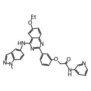 CCOc1ccc2nc(-c3cccc(OCC(=O)Nc4cccnc4)c3)nc(Nc3ccc4c(cnn4C)c3)c2c1